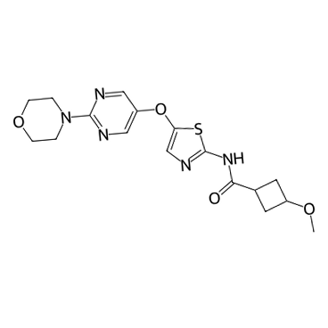 COC1CC(C(=O)Nc2ncc(Oc3cnc(N4CCOCC4)nc3)s2)C1